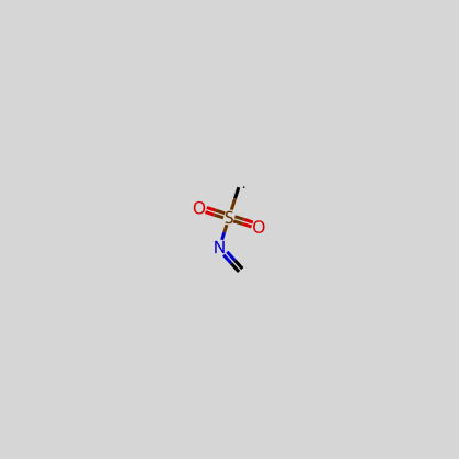 [CH2]S(=O)(=O)N=C